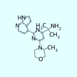 CC1COCCN1c1cc(C(C)(C)N)nc(-c2ccnc3[nH]ccc23)n1